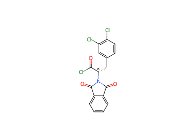 O=C(Cl)[C@H](Cc1ccc(Cl)c(Cl)c1)N1C(=O)c2ccccc2C1=O